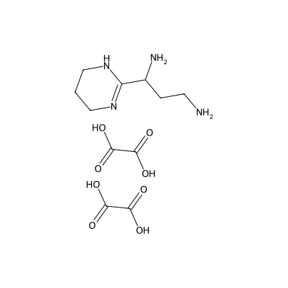 NCCC(N)C1=NCCCN1.O=C(O)C(=O)O.O=C(O)C(=O)O